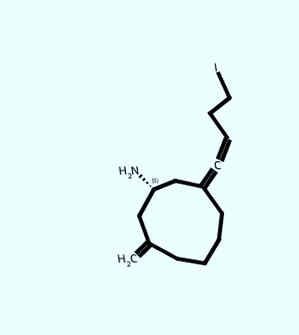 C=C1CCCCC(=C=CCCI)C[C@@H](N)C1